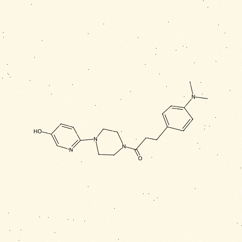 CN(C)c1ccc(CCC(=O)N2CCN(c3ccc(O)cn3)CC2)cc1